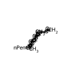 C=CC(=O)OCCCCOc1ccc(C(=O)OC2CCC(C(=O)Oc3ccc(OCCCCC)c(C)c3)CC2)cc1C